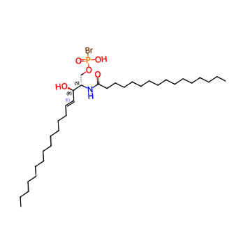 CCCCCCCCCCCCC/C=C/[C@@H](O)[C@H](COP(=O)(O)Br)NC(=O)CCCCCCCCCCCCCCC